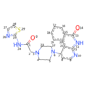 O=C(CN1CCN(c2ccnc3[nH]c(=O)c4ccccc4c23)CC1)Nc1nccs1